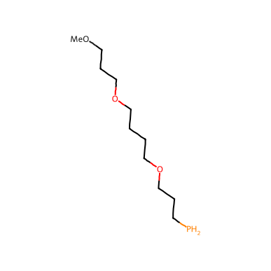 COCCCOCCCCOCCCP